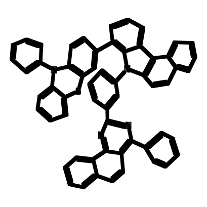 c1ccc(-c2nc(-c3cccc(-n4c5ccc6ccccc6c5c5cccc(-c6ccc7c(c6)Sc6ccccc6N7c6ccccc6)c54)c3)nc3c2ccc2ccccc23)cc1